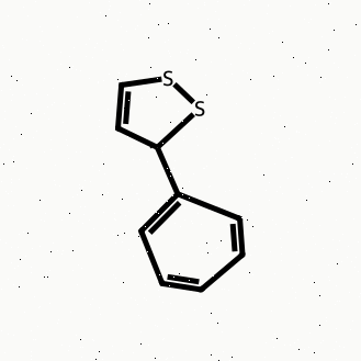 C1=C[C](c2ccccc2)SS1